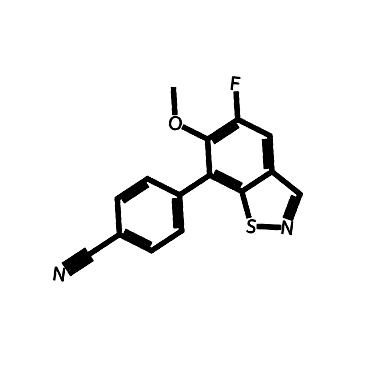 COc1c(F)cc2cnsc2c1-c1ccc(C#N)cc1